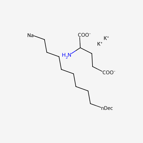 CCCCCCCCCCCCCCCCC[CH2][Na].NC(CCC(=O)[O-])C(=O)[O-].[K+].[K+]